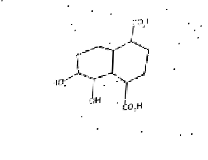 O=C(O)C1CCC(C(=O)O)C2C(O)C(O)CCC12